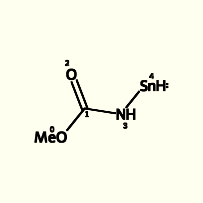 COC(=O)[NH][SnH]